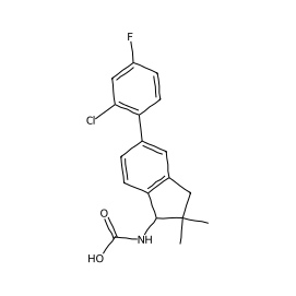 CC1(C)Cc2cc(-c3ccc(F)cc3Cl)ccc2C1NC(=O)O